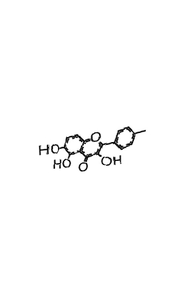 Cc1ccc(-c2oc3ccc(O)c(O)c3c(=O)c2O)cc1